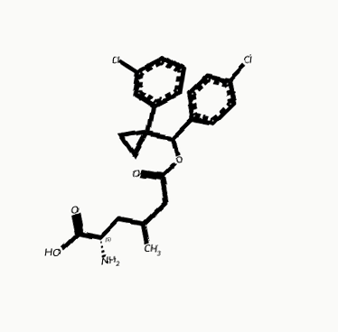 CC(CC(=O)OC(c1ccc(Cl)cc1)C1(c2cccc(Cl)c2)CC1)C[C@H](N)C(=O)O